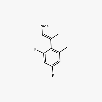 CN/C=C(\C)c1c(C)cc(F)cc1F